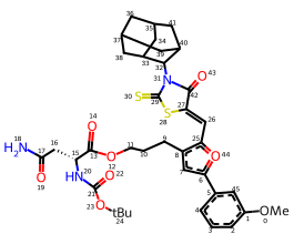 COc1cccc(-c2cc(CCCOC(=O)[C@@H](CC(N)=O)NC(=O)OC(C)(C)C)c(/C=C3\SC(=S)N(C4C5CC6CC(C5)CC4C6)C3=O)o2)c1